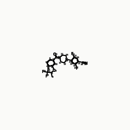 CC(Oc1cccc(C(=O)N2CCN(c3cc(F)c(C#N)cc3F)CC2)c1)C(F)(F)F